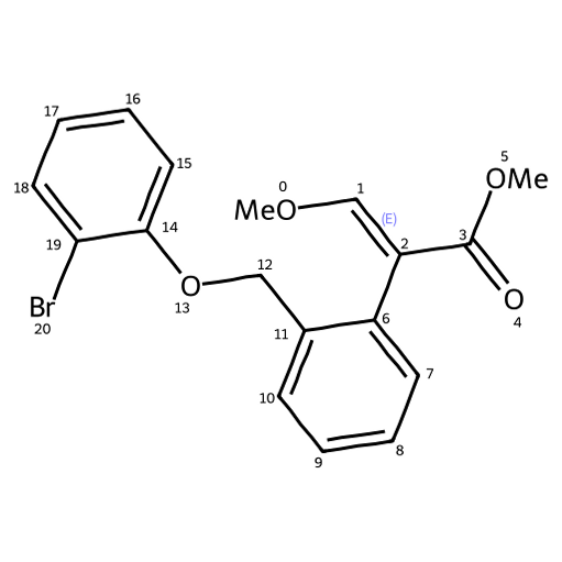 CO/C=C(/C(=O)OC)c1ccccc1COc1ccccc1Br